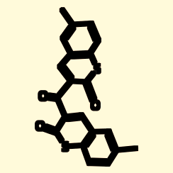 Cc1ccc2sc(=O)c(C(=O)c3cc4cc(C)ccc4sc3=O)cc2c1